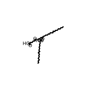 CCCCCCCCC=CCCCCCCCC(=O)CC(CNC(=O)CCCCC(=O)O)C(=O)CCCCCCCC=CCCCCCCCC